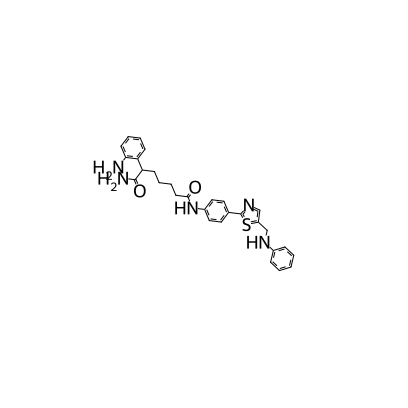 NC(=O)C(CCCCC(=O)Nc1ccc(-c2ncc(CNc3ccccc3)s2)cc1)c1ccccc1N